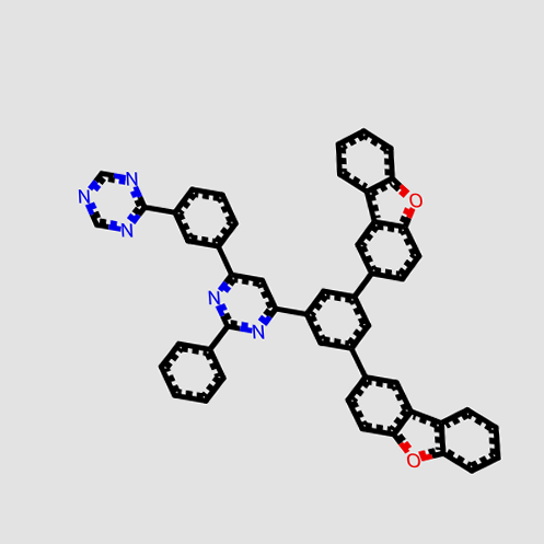 c1ccc(-c2nc(-c3cc(-c4ccc5oc6ccccc6c5c4)cc(-c4ccc5oc6ccccc6c5c4)c3)cc(-c3cccc(-c4ncncn4)c3)n2)cc1